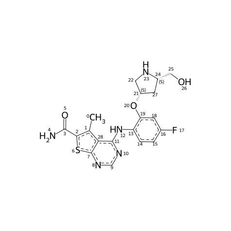 Cc1c(C(N)=O)sc2ncnc(Nc3ccc(F)cc3O[C@@H]3CN[C@H](CO)C3)c12